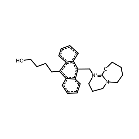 OCCCCc1c2ccccc2c(C[N+]2=C3CCCCCN3CCC2)c2ccccc12